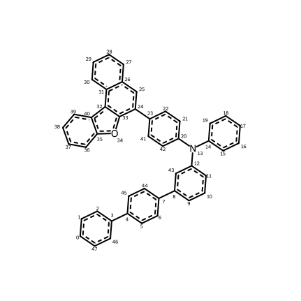 c1ccc(-c2ccc(-c3cccc(N(c4ccccc4)c4ccc(-c5cc6ccccc6c6c5oc5ccccc56)cc4)c3)cc2)cc1